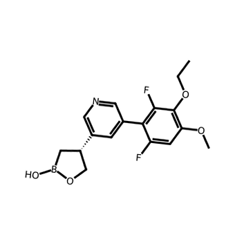 CCOc1c(OC)cc(F)c(-c2cncc([C@@H]3COB(O)C3)c2)c1F